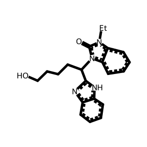 CCn1c(=O)n(C(CCCCO)c2nc3ccccc3[nH]2)c2ccccc21